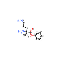 NCCC[C@@](N)(C(=O)Oc1ccccc1)[N+](=O)[O-]